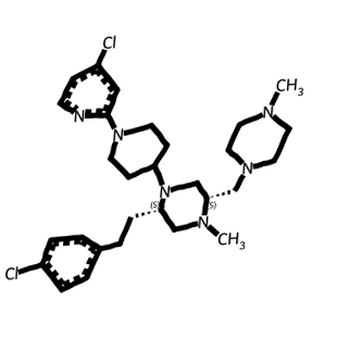 CN1CCN(C[C@H]2CN(C3CCN(c4cc(Cl)ccn4)CC3)[C@@H](CCc3ccc(Cl)cc3)CN2C)CC1